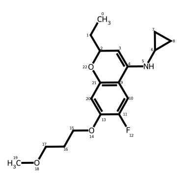 CCC1C=C(NC2CC2)c2cc(F)c(OCCCOC)cc2O1